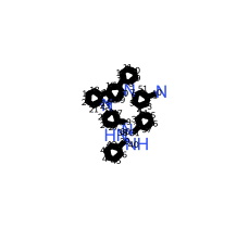 N#Cc1cccc(-n2c3ccccc3c3cc4c5ccccc5n(-c5cccc(CN(Cc6ccccc6)NC(=N)c6ccccc6)c5)c4cc32)c1